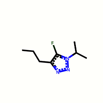 CCCc1nnn(C(C)C)c1F